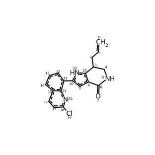 C=CCC1CNC(=O)c2cc(-c3cccc4ccc(Cl)nc34)[nH]c21